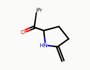 C=C1CCC(C(=O)C(C)C)N1